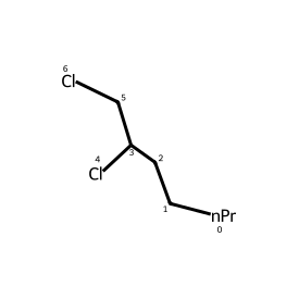 CCCCCC(Cl)CCl